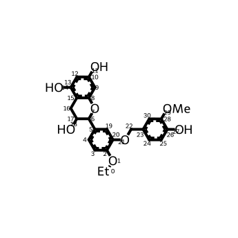 CCOc1ccc(C2Oc3cc(O)cc(O)c3CC2O)cc1OCc1ccc(O)c(OC)c1